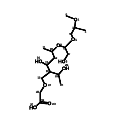 COC(C)COC(CO)OC(C)CC(O)C(COCC(=O)O)C(C)O